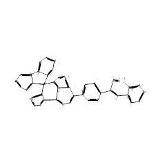 c1ccc2c(c1)-c1ccccc1C21c2ccccc2-c2ccc(-c3ccc(-c4cnc5ccccc5c4)cc3)c3cccc1c23